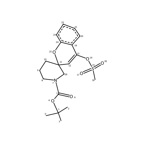 CC(C)(C)OC(=O)N1CCCC2(C=C(OS(C)(=O)=O)c3ccccc3O2)C1